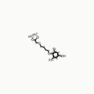 CCCOC(COCCCCOc1c(CC)cc(O)cc1CC)OCCC